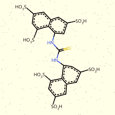 O=S(=O)(O)c1cc(NC(=S)Nc2cc(S(=O)(=O)O)cc3cc(S(=O)(=O)O)cc(S(=O)(=O)O)c23)c2c(S(=O)(=O)O)cc(S(=O)(=O)O)cc2c1